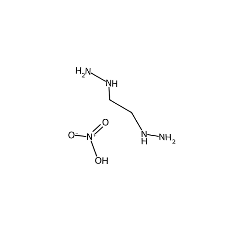 NNCCNN.O=[N+]([O-])O